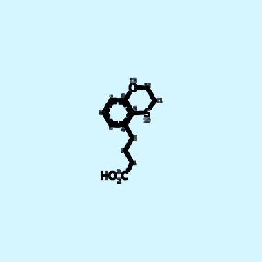 O=C(O)CCCc1cccc2c1SCCO2